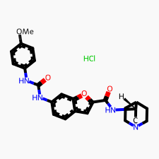 COc1ccc(NC(=O)Nc2ccc3cc(C(=O)N[C@H]4CN5CCC4CC5)oc3c2)cc1.Cl